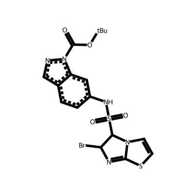 CC(C)(C)OC(=O)n1ncc2ccc(NS(=O)(=O)C3C(Br)N=C4SC=CN43)cc21